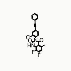 Cc1cc(F)c(F)c2[nH]c(=O)n(-c3ccc(C#Cc4ccccc4)cc3Cl)c(=O)c12